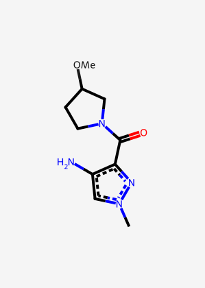 COC1CCN(C(=O)c2nn(C)cc2N)C1